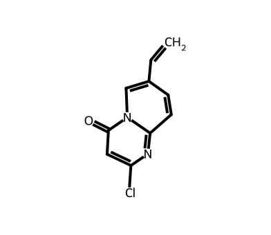 C=Cc1ccc2nc(Cl)cc(=O)n2c1